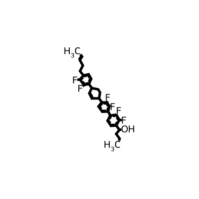 C/C=C/CCc1ccc(C2C=CC(c3ccc(-c4ccc(C(O)CCC)c(F)c4F)c(F)c3F)CC2)c(F)c1F